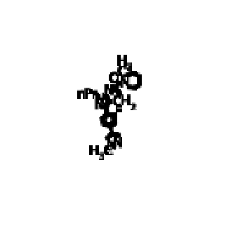 C=C/C(=N\c1cc(-c2ccc([C@H]3C=NN(C)C3)cc2F)nn1CCC)C(=O)N1CCCCCC1C